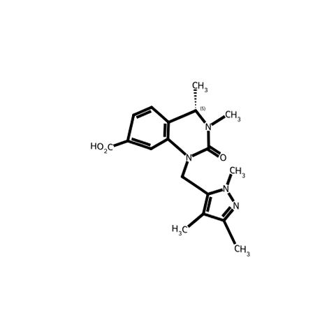 Cc1nn(C)c(CN2C(=O)N(C)[C@@H](C)c3ccc(C(=O)O)cc32)c1C